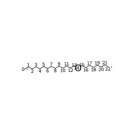 [CH2]CCCCCCCCCCCCCOCCCCCCC[CH2]